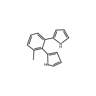 Cc1cccc(-c2ccc[nH]2)c1-c1ccc[nH]1